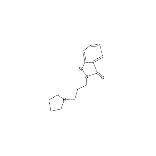 O=c1c2ccccc2[se]n1CCCN1CCCC1